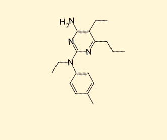 CCCc1nc(N(CC)c2ccc(C)cc2)nc(N)c1CC